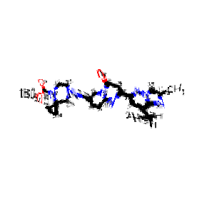 [2H]C([2H])([2H])c1cc(-c2cc(=O)n3cc(N4CCN(C(=O)OC(C)(C)C)C5(CC5)C4)ccc3n2)nn2cc(C)nc12